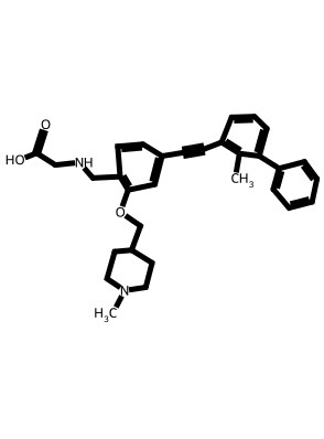 Cc1c(C#Cc2ccc(CNCC(=O)O)c(OCC3CCN(C)CC3)c2)cccc1-c1ccccc1